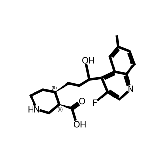 Cc1ccc2ncc(F)c(C(O)CC[C@@H]3CCNC[C@@H]3C(=O)O)c2c1